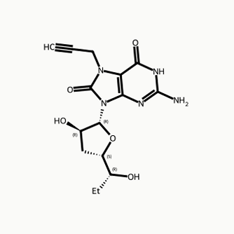 C#CCn1c(=O)n([C@@H]2O[C@H]([C@H](O)CC)C[C@H]2O)c2nc(N)[nH]c(=O)c21